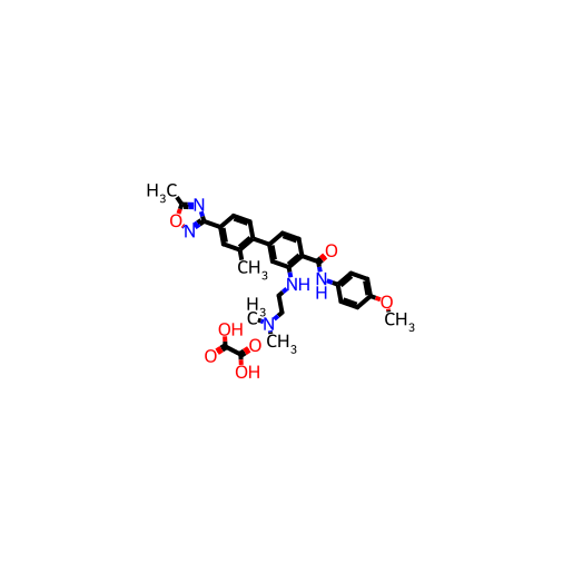 COc1ccc(NC(=O)c2ccc(-c3ccc(-c4noc(C)n4)cc3C)cc2NCCN(C)C)cc1.O=C(O)C(=O)O